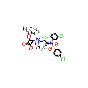 CC(C)Oc1c(NCC[C@@H](C)N(c2cc(Cl)ccc2Cl)S(=O)(=O)c2ccc(Cl)cc2)c(=O)c1=O